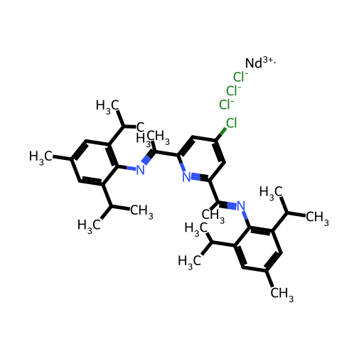 CC(=Nc1c(C(C)C)cc(C)cc1C(C)C)c1cc(Cl)cc(C(C)=Nc2c(C(C)C)cc(C)cc2C(C)C)n1.[Cl-].[Cl-].[Cl-].[Nd+3]